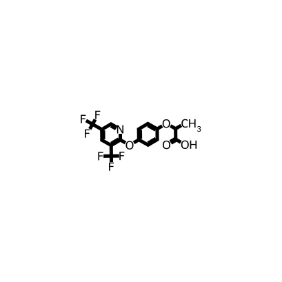 CC(Oc1ccc(Oc2ncc(C(F)(F)F)cc2C(F)(F)F)cc1)C(=O)O